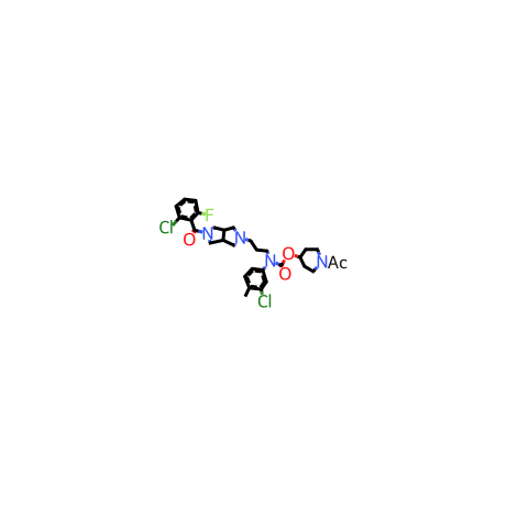 CC(=O)N1CCC(OC(=O)N(CCCN2CC3CN(C(=O)c4c(F)cccc4Cl)CC3C2)c2ccc(C)c(Cl)c2)CC1